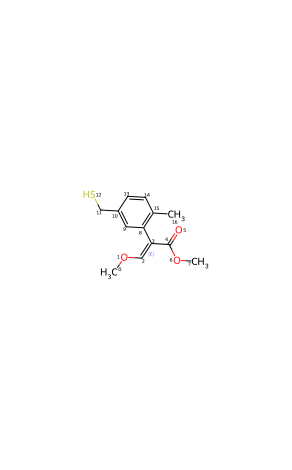 CO/C=C(/C(=O)OC)c1cc(CS)ccc1C